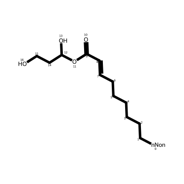 CCCCCCCCCCCCCCCC=CC(=O)OC(O)CCO